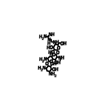 CNC1C(O[C@H]2OC(CO)[C@@H](NCCNC(=N)N)C(O)C2O)O[C@H]2CC(N)[C@@H](O[C@@H]3C(N)C[C@@H](N)C(O)C3O)OC2C1O